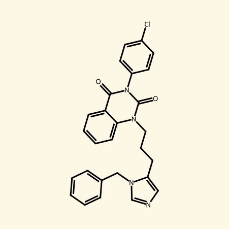 O=c1c2ccccc2n(CCCc2cncn2Cc2ccccc2)c(=O)n1-c1ccc(Cl)cc1